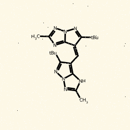 Cc1nc2c(=Cc3c(C(C)(C)C)nn4nc(C)[nH]c34)c(C(C)(C)C)nn2n1